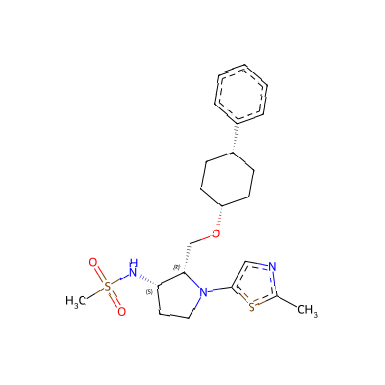 Cc1ncc(N2CC[C@H](NS(C)(=O)=O)[C@@H]2CO[C@H]2CC[C@@H](c3ccccc3)CC2)s1